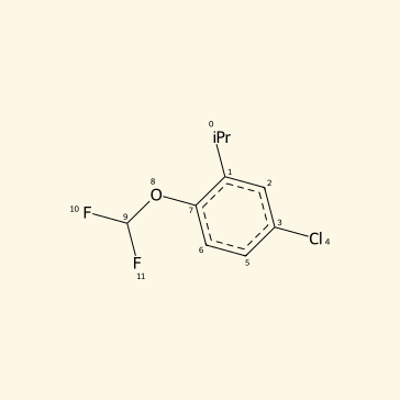 [CH2]C(C)c1cc(Cl)ccc1OC(F)F